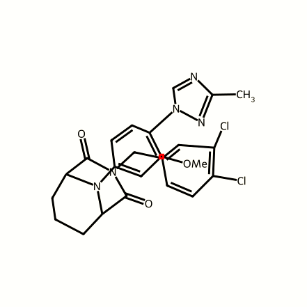 COc1cc(N2C3CCCC2C(=O)N(Cc2ccc(Cl)c(Cl)c2)C3=O)ccc1-n1cnc(C)n1